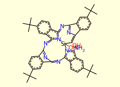 CC(C)(C)c1ccc2c(c1)C1=NC/2=C(/O)[Si]2(O)n3c(N)c4cc(C(C)(C)C)ccc4c3/N=C3N=C(/N=c4/c5cc(C(C)(C)C)ccc5/c(n42)=N/1)c1ccc(C(C)(C)C)cc1\3